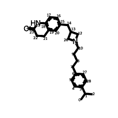 CC(C)c1ccc(CCCCN2CC(Cc3ccc4c(c3)CCC(=O)N4)C2)cc1